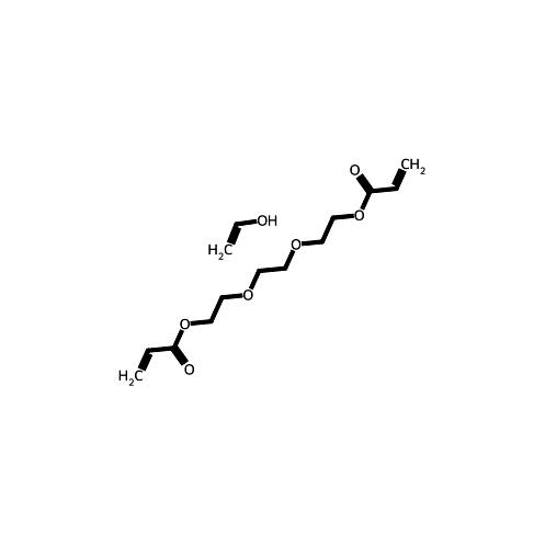 C=CC(=O)OCCOCCOCCOC(=O)C=C.C=CO